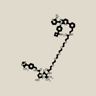 Cc1ncsc1-c1ccc(CNC(=O)[C@@H]2C[C@@H](O)CN2C(=O)[C@@H](NC(=O)CCOCCOCCOCCOCCOCCC(=O)NCCc2cccc(-c3ccc4nc(-c5cccnc5N)n(-c5ccc(C6(N)CCC6)cc5)c4n3)c2)C(C)(C)C)cc1